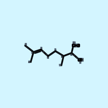 CC(C)=CCCC(C)C(O)C=O